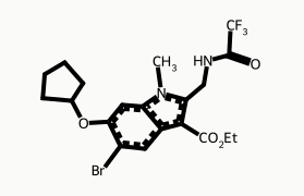 CCOC(=O)c1c(CNC(=O)C(F)(F)F)n(C)c2cc(OC3CCCC3)c(Br)cc12